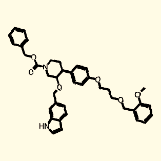 COc1ccccc1COCCCOc1ccc(C2CCN(C(=O)OCc3ccccc3)CC2OCc2ccc3cc[nH]c3c2)cc1